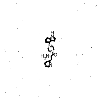 N[C@H](Cc1ccccn1)C(=O)N1CCN(c2cccc3[nH]ccc23)CC1